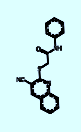 N#Cc1cc2ccccc2nc1SCC(=O)Nc1ccccc1